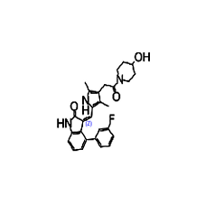 Cc1[nH]c(/C=C2\C(=O)Nc3cccc(-c4cccc(F)c4)c32)c(C)c1CC(=O)N1CCC(O)CC1